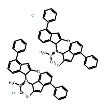 CCC1=Cc2c(-c3ccccc3)cccc2[CH]1[Hf]([CH]1C(CC)=Cc2c(-c3ccccc3)cccc21)=[Si](C)C.CCC1=Cc2c(-c3ccccc3)cccc2[CH]1[Hf]([CH]1C(CC)=Cc2c(-c3ccccc3)cccc21)=[Si](C)C.[Cl-].[Cl-]